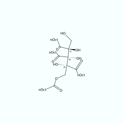 CCCCCCCCC(=O)OC[C@](O)(C(=O)CCCCCCCC)[C@@](O)(C(=O)CCCCCCCC)[C@@](O)(CO)C(=O)CCCCCCCC